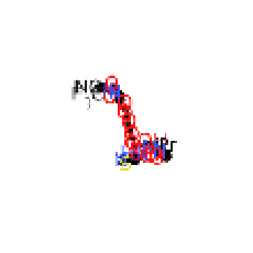 Cc1ncsc1-c1ccc(CNC(=O)[C@@H]2C[C@@H](O)CN2C(=O)C(C(C)C)N2Cc3ccccc3C2=O)c(OCCOCCOCCCOCCOCCOc2ccc(N3C(=O)N(c4ccc(C#N)c(C(F)(F)F)c4)C(=O)C3(C)C)cc2)c1